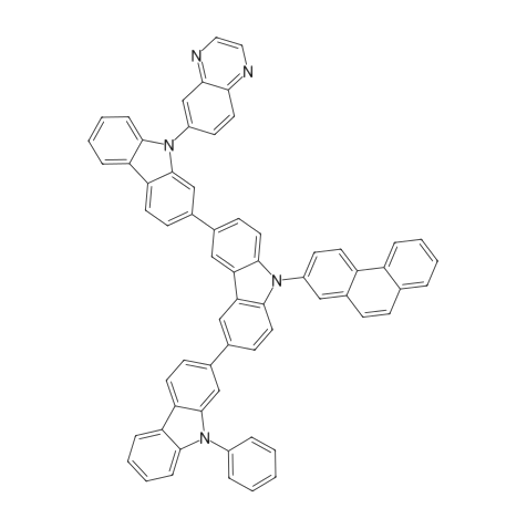 c1ccc(-n2c3ccccc3c3ccc(-c4ccc5c(c4)c4cc(-c6ccc7c8ccccc8n(-c8ccc9nccnc9c8)c7c6)ccc4n5-c4ccc5c(ccc6ccccc65)c4)cc32)cc1